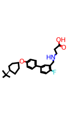 CC(C)(C)[C@H]1CC[C@H](Oc2ccc(-c3ccc(F)c(CNCCC(=O)O)c3)cc2)CC1